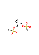 CCS(=O)(=O)OCC1(COS(=O)(=O)CC)CC1